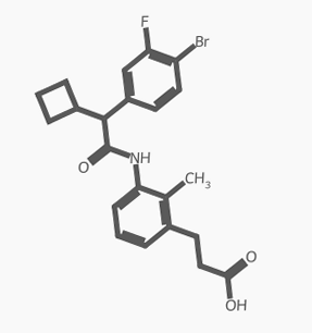 Cc1c(CCC(=O)O)cccc1NC(=O)C(c1ccc(Br)c(F)c1)C1CCC1